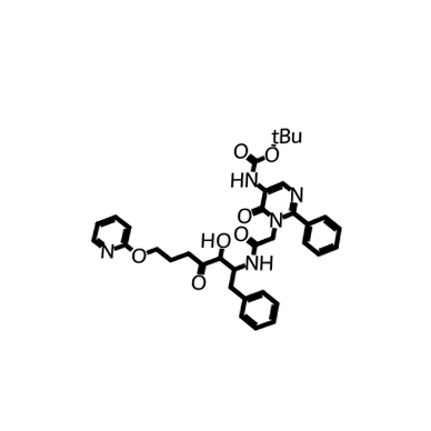 CC(C)(C)OC(=O)Nc1cnc(-c2ccccc2)n(CC(=O)NC(Cc2ccccc2)C(O)C(=O)CCCOc2ccccn2)c1=O